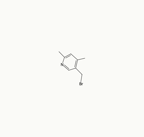 Cc1cc(C)c(CBr)cn1